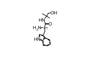 CC(C)(CO)NC(=O)[C@H](N)Cc1c[nH]c2ccccc12